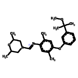 COC(C)(C)c1cccc(Oc2cc(C)c(/N=C/N3CC(C)OC(C)C3)cc2C)c1